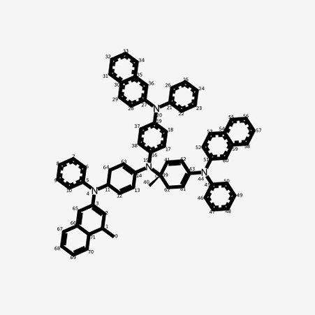 CC1C=C(N(c2ccccc2)C2C=CC(N(c3ccc(N(c4ccccc4)c4ccc5ccccc5c4)cc3)[C@]3(C)C=CC(N(c4ccccc4)c4ccc5ccccc5c4)=CC3)=CC2)C=C2C=CC=CC21